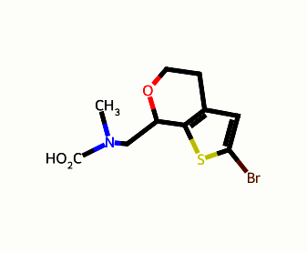 CN(CC1OCCc2cc(Br)sc21)C(=O)O